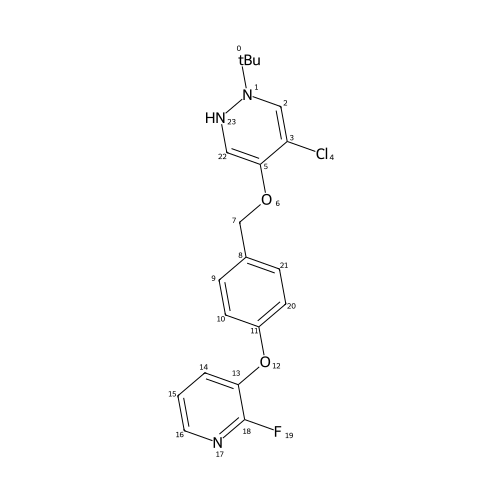 CC(C)(C)N1C=C(Cl)C(OCc2ccc(Oc3cccnc3F)cc2)=CN1